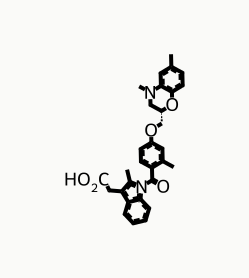 Cc1ccc2c(c1)N(C)C[C@@H](COc1ccc(C(=O)n3c(C)c(CC(=O)O)c4ccccc43)c(C)c1)O2